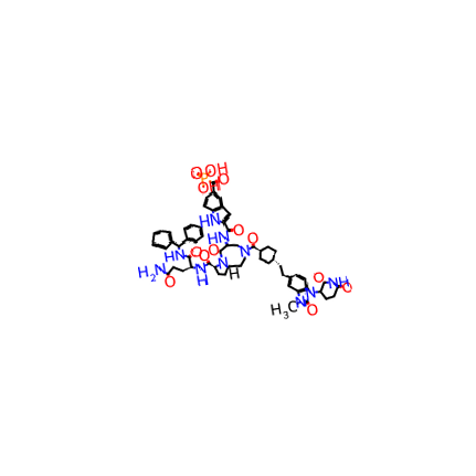 Cn1c(=O)n(C2CCC(=O)NC2=O)c2ccc(CC[C@H]3CC[C@H](C(=O)N4CC[C@H]5CC[C@@H](C(=O)N[C@@H](CCC(N)=O)C(=O)NC(c6ccccc6)c6ccccc6)N5C(=O)[C@@H](NC(=O)c5cc6cc(C(=O)P(=O)(O)O)ccc6[nH]5)C4)CC3)cc21